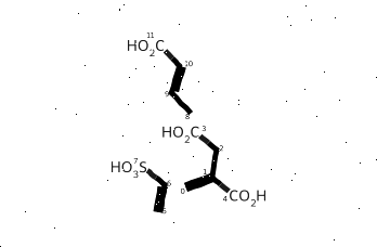 C=C(CC(=O)O)C(=O)O.C=CS(=O)(=O)O.CC=CC(=O)O